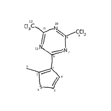 Cc1sccc1-c1nc(C(Cl)(Cl)Cl)nc(C(Cl)(Cl)Cl)n1